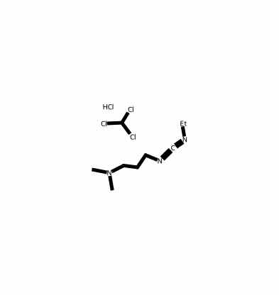 CCN=C=NCCCN(C)C.Cl.ClC(Cl)Cl